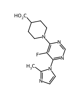 Cc1nccn1-c1ncnc(N2CCC(C(=O)O)CC2)c1F